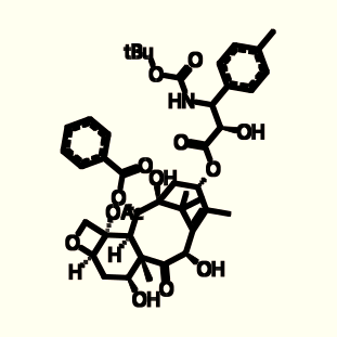 CC(=O)O[C@@]12CO[C@@H]1C[C@H](O)[C@@]1(C)C(=O)[C@H](O)C3=C(C)[C@@H](OC(=O)[C@H](O)C(NC(=O)OC(C)(C)C)c4ccc(C)cc4)C[C@@](O)([C@@H](OC(=O)c4ccccc4)[C@H]21)C3(C)C